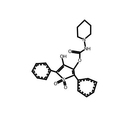 O=C(NN1CCCCC1)OC1=C(c2ccccc2)S(=O)(=O)C(c2ccccc2)=C1O